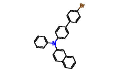 Brc1ccc(-c2ccc(N(c3ccccc3)c3ccc4ccccc4c3)cc2)cc1